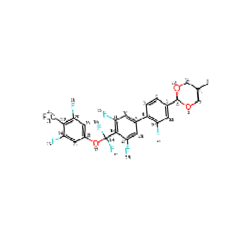 CC1COC(c2ccc(-c3cc(F)c(C(F)(F)Oc4cc(F)c(C(F)(F)F)c(F)c4)c(F)c3)c(F)c2)OC1